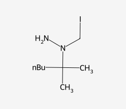 CCCCC(C)(C)N(N)CI